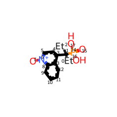 CCC(CC)(c1cc[n+]([O-])c2ccccc12)P(=O)(O)O